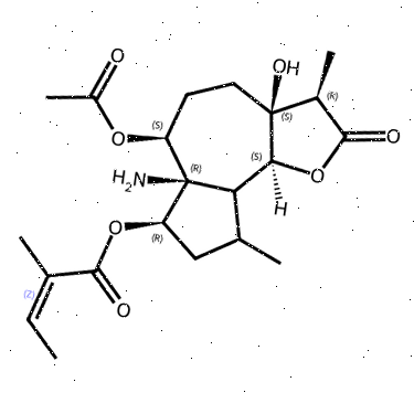 C/C=C(/C)C(=O)O[C@@H]1CC(C)C2[C@@H]3OC(=O)[C@H](C)[C@@]3(O)CC[C@H](OC(C)=O)[C@]21N